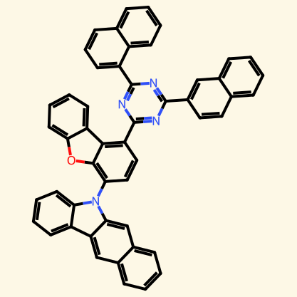 c1ccc2cc(-c3nc(-c4cccc5ccccc45)nc(-c4ccc(-n5c6ccccc6c6cc7ccccc7cc65)c5oc6ccccc6c45)n3)ccc2c1